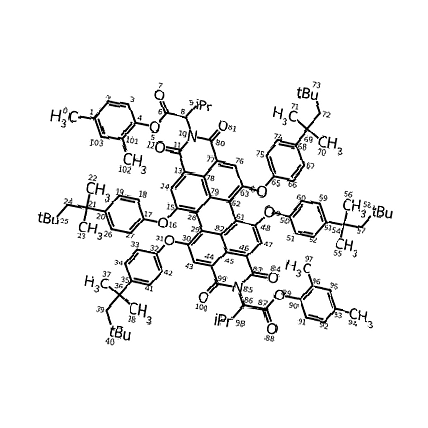 Cc1ccc(OC(=O)C(C(C)C)N2C(=O)c3cc(Oc4ccc(C(C)(C)CC(C)(C)C)cc4)c4c5c(Oc6ccc(C(C)(C)CC(C)(C)C)cc6)cc6c7c(cc(Oc8ccc(C(C)(C)CC(C)(C)C)cc8)c(c8c(Oc9ccc(C(C)(C)CC(C)(C)C)cc9)cc(c3c48)C2=O)c75)C(=O)N(C(C(=O)Oc2ccc(C)cc2C)C(C)C)C6=O)c(C)c1